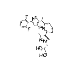 Cc1nn(C[C@@H](O)CO)cc1-c1cccc(C(C)c2nnc(-c3c(F)cccc3F)cc2C(C)C)n1